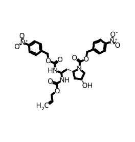 C=CCOC(=O)NC(C[C@H]1C[C@@H](O)CN1C(=O)OCc1ccc([N+](=O)[O-])cc1)NC(=O)OCc1ccc([N+](=O)[O-])cc1